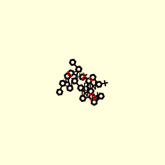 CC(C)(C)c1ccc2c(c1)B1c3cc(-c4cc([Si](c5ccccc5)(c5ccccc5)c5cccc(-c6ccccc6)c5)cc([Si](c5ccccc5)(c5ccccc5)c5cccc(-c6ccccc6)c5)c4)ccc3N(c3ccccc3-c3ccccc3)c3cc(-n4c5ccccc5c5ccccc54)cc(c31)N2c1ccc(C(C)(C)C)cc1-c1ccccc1